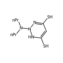 CCCN(CCC)N1N=C(S)C=C(S)N1